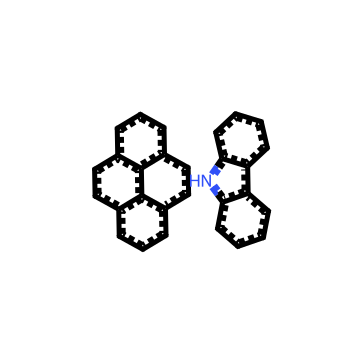 c1cc2ccc3cccc4ccc(c1)c2c34.c1ccc2c(c1)[nH]c1ccccc12